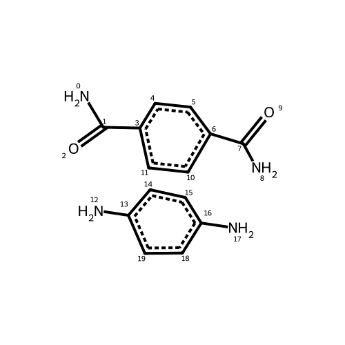 NC(=O)c1ccc(C(N)=O)cc1.Nc1ccc(N)cc1